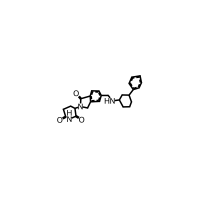 O=C1CCC(N2Cc3cc(CNC4CCCC(c5ccccc5)C4)ccc3C2=O)C(=O)N1